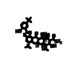 CN(C)c1cc2nc(-c3cc(C(C)(C)C)ccc3O)oc2c2c1C[C@H]1C[C@H]3[C@H](N(C)C)C(O)=C(C(N)=O)C(=O)[C@@]3(O)C(O)=C1C2=O